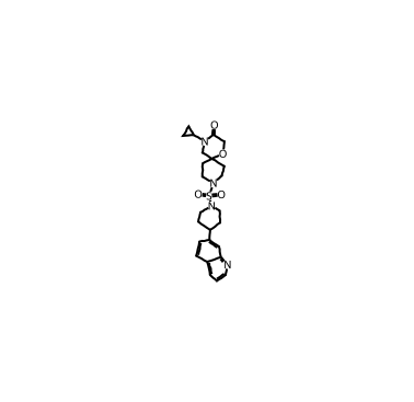 O=C1COC2(CCN(S(=O)(=O)N3CCC(c4ccc5cccnc5c4)CC3)CC2)CN1C1CC1